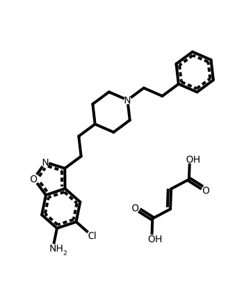 Nc1cc2onc(CCC3CCN(CCc4ccccc4)CC3)c2cc1Cl.O=C(O)C=CC(=O)O